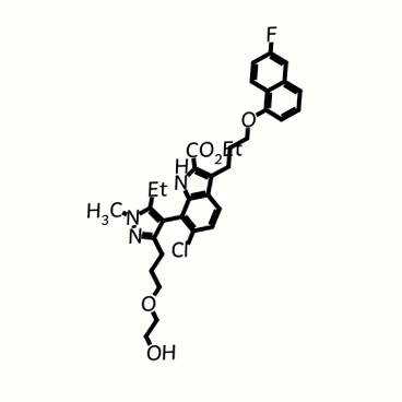 CCOC(=O)c1[nH]c2c(-c3c(CCCOCCO)nn(C)c3CC)c(Cl)ccc2c1CCCOc1cccc2cc(F)ccc12